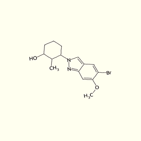 COc1cc2nn(C3CCCC(O)C3C)cc2cc1Br